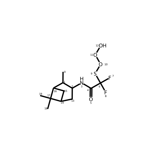 CC1C(NC(=O)C(F)(F)SOOO)CC2CC1C2(C)C